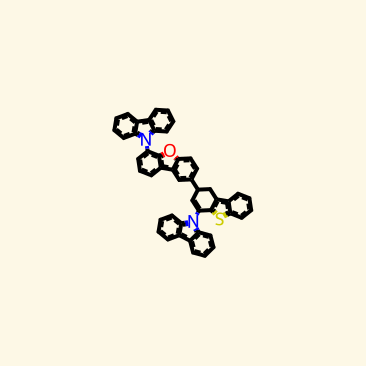 C1=C(n2c3ccccc3c3ccccc32)c2sc3ccccc3c2CC1c1ccc2oc3c(-n4c5ccccc5c5ccccc54)cccc3c2c1